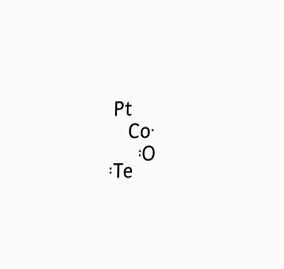 [Co].[O].[Pt].[Te]